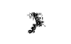 NC[C@H]1O[C@H](O[C@H]2[C@H](O)[C@@H](O[C@H]3O[C@H](COC(=O)C4CCn5c(C(=O)c6ccccc6)ccc54)[C@@H](O)[C@H](N)[C@H]3O)[C@H](N)C[C@@H]2N)[C@H](N)C[C@@H]1O